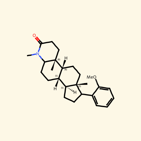 COc1ccccc1C1CC[C@H]2[C@@H]3CCC4N(C)C(=O)CC[C@]4(C)[C@@H]3CC[C@]12C